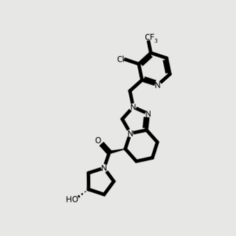 O=C([C@@H]1CCCC2=NN(Cc3nccc(C(F)(F)F)c3Cl)CN21)N1CC[C@H](O)C1